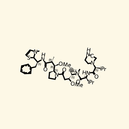 CC[C@H](C)[C@@H](C(CC(=O)N1CCC[C@H]1[C@H](OC)[C@@H](C)C(=O)N[C@@H](Cc1ccccc1)C1SC=CN1C)OC)N(C)C(=O)[C@@H](NC(=O)[C@H](C(C)C)N1CCNCC1)C(C)C